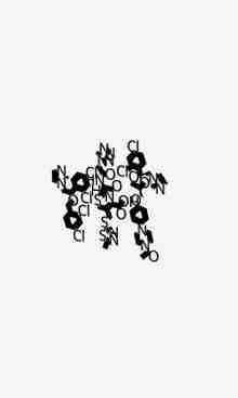 CC(=O)N1CCN(c2ccc(OC[C@H]3CO[C@](Cn4ccnc4)(c4ccc(Cl)cc4Cl)O3)cc2)CC1.Cc1nnc(SCC2=C(C(=O)O)N3C(=O)[C@@H](NC(=O)Cn4cnnn4)[C@H]3SC2)s1.Clc1ccc(COC(Cn2ccnc2)c2ccc(Cl)cc2Cl)c(Cl)c1